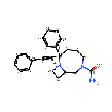 NC(=O)N1CCCC(C#Cc2ccccc2)(c2ccccc2)N2CCC2C1